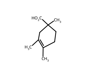 CC1=C(C)CC(C)(C(=O)O)CC1